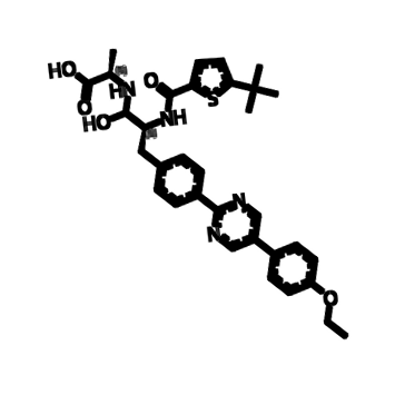 CCOc1ccc(-c2cnc(-c3ccc(C[C@H](NC(=O)c4ccc(C(C)(C)C)s4)C(O)N[C@H](C)C(=O)O)cc3)nc2)cc1